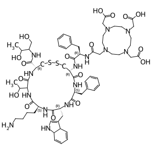 CC(O)C(CO)NC(=O)[C@@H]1CSSC[C@H](NC(=O)[C@@H](Cc2ccccc2)NC(=O)CN2CCN(CC(=O)O)CCN(CC(=O)O)CCN(CC(=O)O)CC2)C(=O)N[C@@H](Cc2ccccc2)C(=O)N[C@H](CC2=CNC3C=CC=CC23)C(=O)N[C@@H](CCCCN)C(=O)NC(C(C)O)C(=O)N1